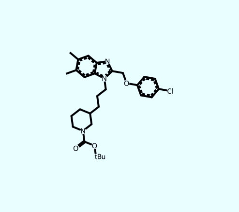 Cc1cc2nc(COc3ccc(Cl)cc3)n(CCCC3CCCN(C(=O)OC(C)(C)C)C3)c2cc1C